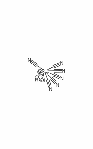 N#[C][Ru](=[O])(=[O])(=[O])([OH])([OH])([C]#N)([C]#N)([C]#N)([C]#N)[C]#N